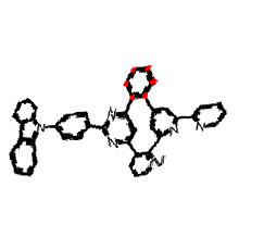 c1ccc(-c2cc(-c3ccccn3)nc(-c3ncccc3-c3cc(-c4ccccc4)nc(-c4ccc(-n5c6ccccc6c6ccccc65)cc4)n3)c2)cc1